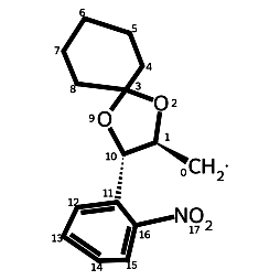 [CH2][C@@H]1OC2(CCCCC2)O[C@H]1c1ccccc1[N+](=O)[O-]